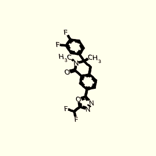 CN1C(=O)c2cc(-c3nnc(C(F)F)o3)ccc2CC1(C)c1ccc(F)c(F)c1